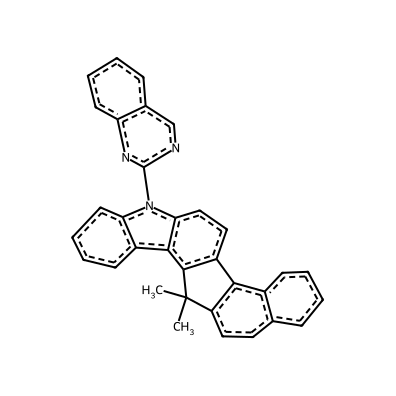 CC1(C)c2ccc3ccccc3c2-c2ccc3c(c21)c1ccccc1n3-c1ncc2ccccc2n1